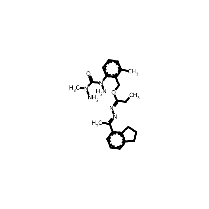 CC/C(=N\N=C(C)c1cccc2c1CCC2)OCc1c(C)cccc1N(N)C(=O)N(C)N